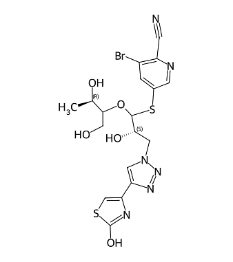 C[C@@H](O)C(CO)OC(Sc1cnc(C#N)c(Br)c1)[C@@H](O)Cn1cc(-c2csc(O)n2)nn1